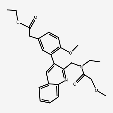 CCOC(=O)Cc1ccc(OC)c(-c2cc3ccccc3nc2CN(CC)C(=O)COC)c1